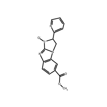 COC(=O)c1ccc2nc3n(c2c1)CC(c1ccccn1)[S+]3[O-]